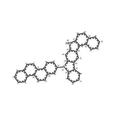 c1ccc2c(c1)ccc1c3ccc(-n4c5ccccc5c5cc6c(cc54)[nH]c4ccc5ccccc5c46)cc3ccc21